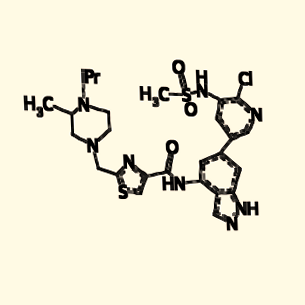 CC(C)N1CCN(Cc2nc(C(=O)Nc3cc(-c4cnc(Cl)c(NS(C)(=O)=O)c4)cc4[nH]ncc34)cs2)CC1C